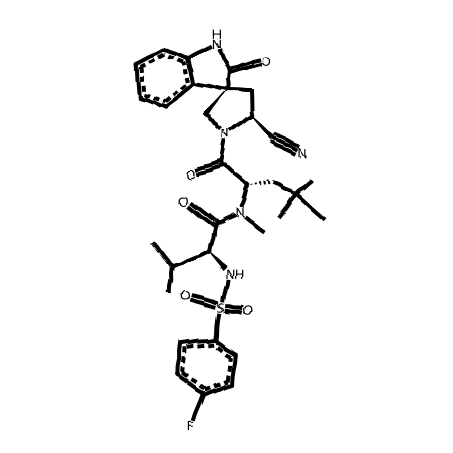 CC(C)[C@H](NS(=O)(=O)c1ccc(F)cc1)C(=O)N(C)[C@@H](CC(C)(C)C)C(=O)N1C[C@]2(C[C@H]1C#N)C(=O)Nc1ccccc12